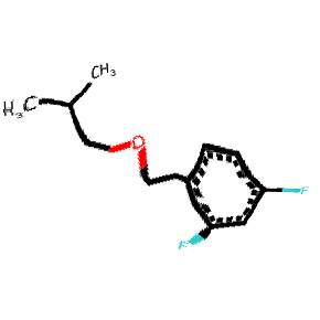 CC(C)COCc1ccc(F)cc1F